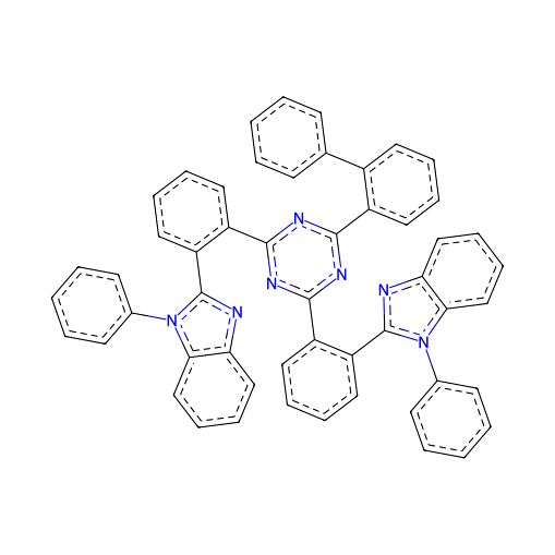 c1ccc(-c2ccccc2-c2nc(-c3ccccc3-c3nc4ccccc4n3-c3ccccc3)nc(-c3ccccc3-c3nc4ccccc4n3-c3ccccc3)n2)cc1